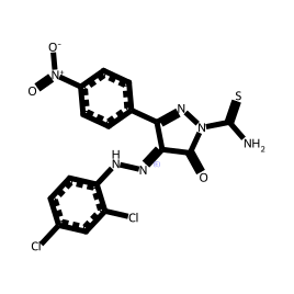 NC(=S)N1N=C(c2ccc([N+](=O)[O-])cc2)/C(=N\Nc2ccc(Cl)cc2Cl)C1=O